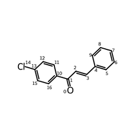 O=C(/C=C/c1ccccc1)c1ccc(Cl)cc1